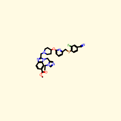 CCn1cncc1Cn1c(CN2CCC(Oc3cccc(CSc4ccc(C#N)cc4F)n3)CC2)nc2ccc(C(=O)OC)cc21